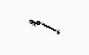 CC(C)C(=O)OCCCCCCCCCCCCOc1ccc(-c2cc3ccncc3oc2=O)cc1